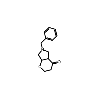 O=C1CCOC2CN(Cc3ccccc3)CC12